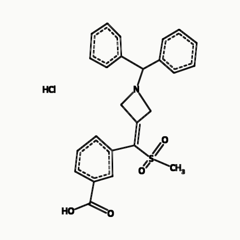 CS(=O)(=O)C(=C1CN(C(c2ccccc2)c2ccccc2)C1)c1cccc(C(=O)O)c1.Cl